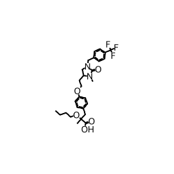 CCCCOC(C)(Cc1ccc(OCCC2CN(Cc3ccc(C(F)(F)F)cc3)C(=O)N2C)cc1)C(=O)O